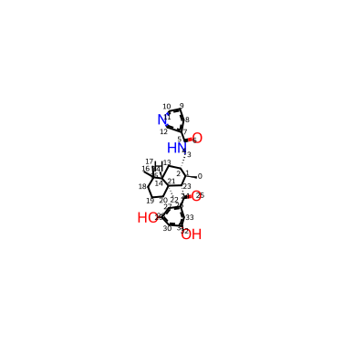 C[C@@H]1[C@@H](CNC(=O)c2cccnc2)C[C@H]2C(C)(C)CCC[C@]2(C)[C@H]1C(=O)c1cc(O)cc(O)c1